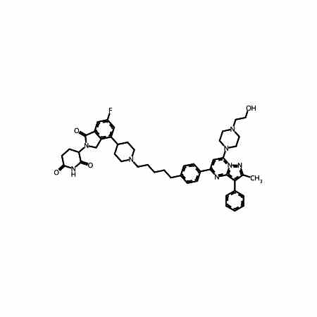 Cc1nn2c(N3CCN(CCO)CC3)cc(-c3ccc(CCCCCN4CCC(c5cc(F)cc6c5CN(C5CCC(=O)NC5=O)C6=O)CC4)cc3)nc2c1-c1ccccc1